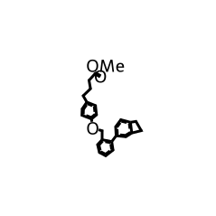 COC(=O)CCCc1ccc(OCc2ccccc2-c2ccc3c(c2)CC3)cc1